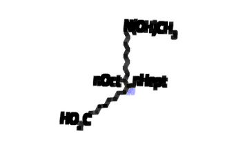 CCCCCCC/C=C(/CCCCCCCCC(=O)O)C(CCCCCCCC)CCCCCCCCN(C)O